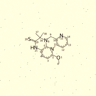 COc1ccc2c(n1)N(Cc1ccccn1)C(C)(C)C(=S)N2